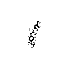 CCS(=O)(=O)c1ccc(CC(=O)Nc2cc(Br)cs2)cc1